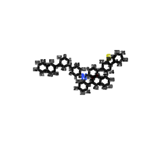 c1cc(-c2ccc(N(c3ccc(-c4ccc5c(c4)sc4ccccc45)cc3)c3ccccc3-c3ccc4ccccc4c3)cc2)cc(-c2ccc3ccccc3c2)c1